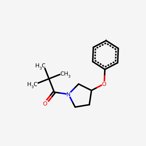 CC(C)(C)C(=O)N1CCC(Oc2cc[c]cc2)C1